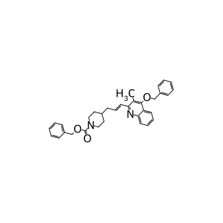 Cc1c(/C=C/CC2CCN(C(=O)OCc3ccccc3)CC2)nc2ccccc2c1OCc1ccccc1